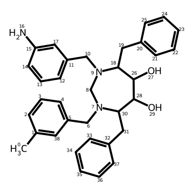 Cc1cccc(CN2CN(Cc3cccc(N)c3)C(Cc3ccccc3)C(O)C(O)C2Cc2ccccc2)c1